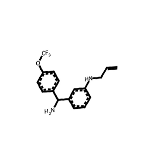 C=CCNc1cccc(C(N)c2ccc(OC(F)(F)F)cc2)c1